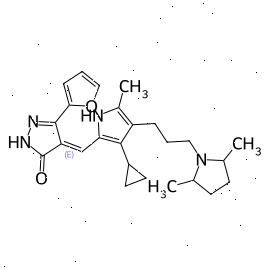 Cc1[nH]c(/C=C2/C(=O)NN=C2c2ccco2)c(C2CC2)c1CCCN1C(C)CCC1C